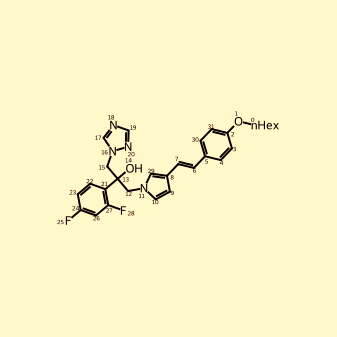 CCCCCCOc1ccc(C=Cc2ccn(CC(O)(Cn3cncn3)c3ccc(F)cc3F)c2)cc1